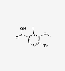 COc1c(Br)ccc(C(=O)O)c1I